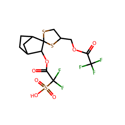 O=C(OCC1CSC2(S1)C1CCC(C1)C2OC(=O)C(F)(F)S(=O)(=O)O)C(F)(F)F